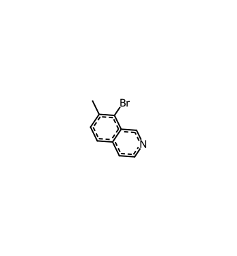 Cc1ccc2ccncc2c1Br